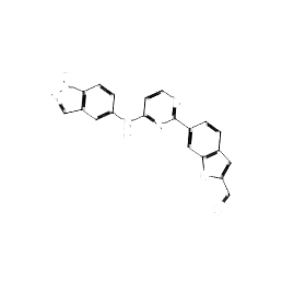 O=Cc1cc2ccc(-c3nccc(Nc4ccc5[nH]ncc5c4)n3)cc2o1